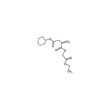 C=C(CC(=O)OC1CCCCC1)C(=O)OCC(=O)OCC